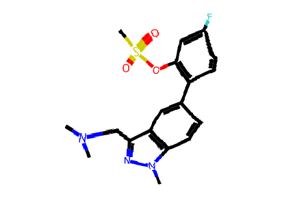 CN(C)Cc1nn(C)c2ccc(-c3ccc(F)cc3OS(C)(=O)=O)cc12